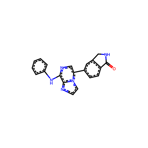 O=C1NCc2cc(-c3cnc(Nc4ccccc4)c4nccn34)ccc21